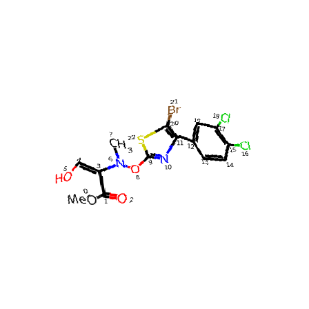 COC(=O)C(=CO)N(C)Oc1nc(-c2ccc(Cl)c(Cl)c2)c(Br)s1